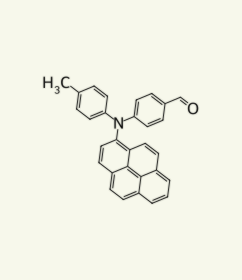 Cc1ccc(N(c2ccc(C=O)cc2)c2ccc3ccc4cccc5ccc2c3c45)cc1